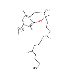 CC(=O)O.Cc1cc(C)c2c(c1C)OC(C)(CCCC(C)CCCC(C)CCCC(C)C)C(O)C2